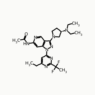 CCc1cc(-n2nc(N3CC[C@@H](N(CC)CC)C3)c3cnc(NC(C)=O)cc32)nc(C(C)(F)F)n1